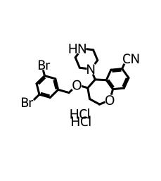 Cl.Cl.N#Cc1ccc2c(c1)C(N1CCNCC1)C(OCc1cc(Br)cc(Br)c1)CCO2